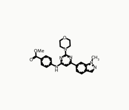 COC(=O)c1ccc(Nc2cc(-c3ccc4cnn(C)c4c3)nc(N3CCOCC3)n2)cc1